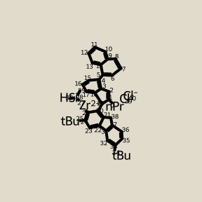 CCCC1=Cc2c(-c3cccc4ccccc34)cccc2C1c1c2c(cc(C(C)(C)C)[c]1[Zr+2][SiH](C)C)-c1cc(C(C)(C)C)ccc1C2.[Cl-].[Cl-]